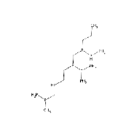 CCCP(CP(CCPCP(C)P)P(P)P)PP